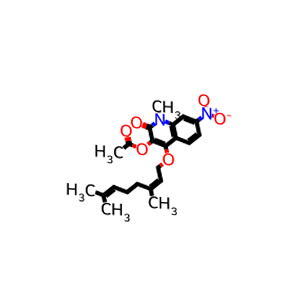 CC(=O)Oc1c(OCC=C(C)CCC=C(C)C)c2ccc([N+](=O)[O-])cc2n(C)c1=O